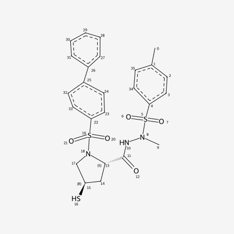 Cc1ccc(S(=O)(=O)N(C)NC(=O)[C@@H]2C[C@@H](S)CN2S(=O)(=O)c2ccc(-c3ccccc3)cc2)cc1